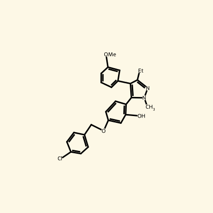 CCc1nn(C)c(-c2ccc(OCc3ccc(Cl)cc3)cc2O)c1-c1cccc(OC)c1